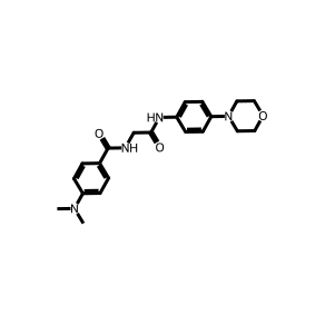 CN(C)c1ccc(C(=O)NCC(=O)Nc2ccc(N3CCOCC3)cc2)cc1